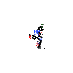 COc1ccc(C2CN(Cc3cc(C)on3)CCC2NC(=O)Nc2ccc(Cl)cc2)cc1